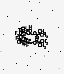 C=C(C)C(=O)OCC(O)CC(F)(F)C(F)(F)C(F)(C(F)(F)F)C(F)(F)F.C=C(C)C(=O)OCCC(F)(F)C(F)(F)C(F)(F)C(F)(F)C(F)(C(F)(F)F)C(F)(F)F